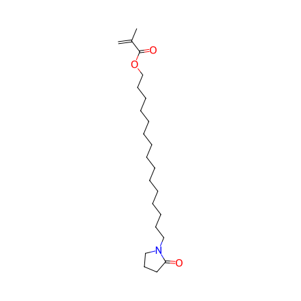 C=C(C)C(=O)OCCCCCCCCCCCCCCCN1CCCC1=O